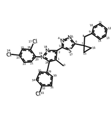 Cc1c(-c2nnc(C3(Cc4ccccc4)CC3)s2)nn(-c2ccc(Cl)cc2Cl)c1-c1ccc(Cl)cc1